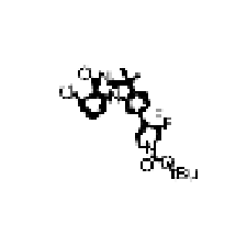 CC(C)(C)OC(=O)N1CC=C(c2ccc3c(c2)-n2c(nc(=O)c4c(Cl)cccc42)C3(C)C)C(F)(F)C1